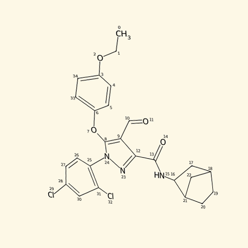 CCOc1ccc(Oc2c(C=O)c(C(=O)NC3CC4CCC3C4)nn2-c2ccc(Cl)cc2Cl)cc1